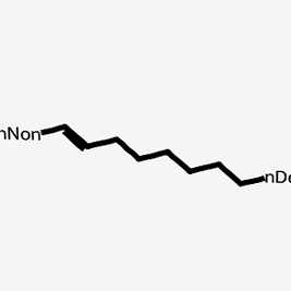 [CH2]CCCCCCCCC=CCCCCCCCCCCCCCCC[CH2]